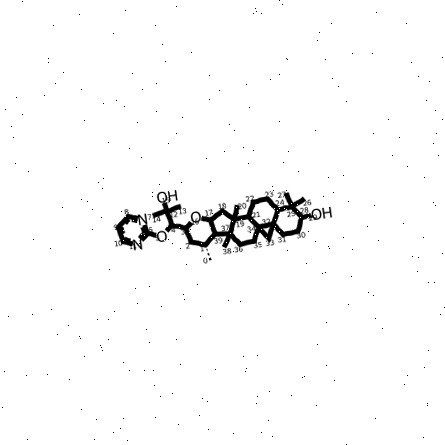 C[C@@H]1CC(C(Oc2ncccn2)C(C)(C)O)OC2CC3(C)C4CCC5C(C)(C)C(O)CCC56CC46CCC3(C)C21